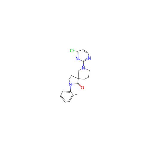 Cc1ccccc1N1CCC2(CCCN(c3nccc(Cl)n3)C2)C1=O